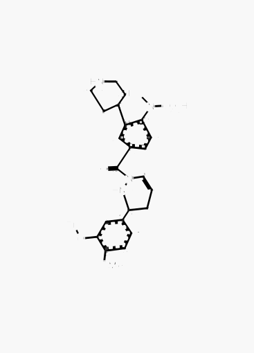 CCOc1cc(C2CC=CN(C(=O)c3ccc(N(C)C(=O)O)c(C4CCNCC4)c3)N2)ccc1OC